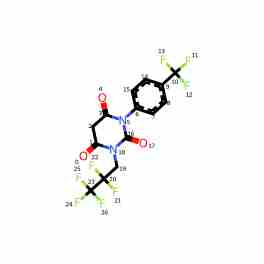 O=C1CC(=O)N(c2ccc(C(F)(F)F)cc2)C(=O)N1CC(F)(F)C(F)(F)F